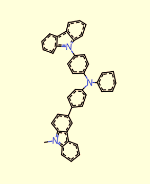 Cn1c2ccccc2c2cc(-c3ccc(N(c4ccccc4)c4ccc(-n5c6ccccc6c6ccccc65)cc4)cc3)ccc21